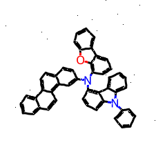 c1ccc(-n2c3ccccc3c3c(N(c4ccc5ccc6c7ccccc7ccc6c5c4)c4cccc5c4oc4ccccc45)cccc32)cc1